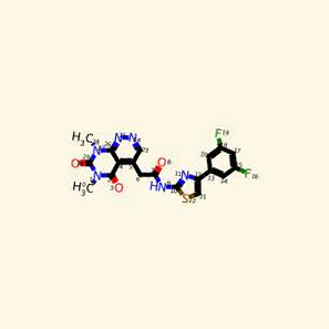 Cn1c(=O)c2c(CC(=O)Nc3nc(-c4cc(F)cc(F)c4)cs3)cnnc2n(C)c1=O